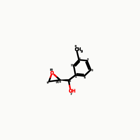 Cc1cccc(C(O)[C@H]2CO2)c1